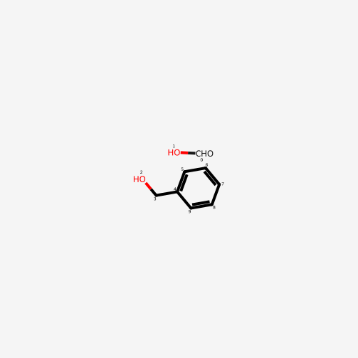 O=CO.OCc1ccccc1